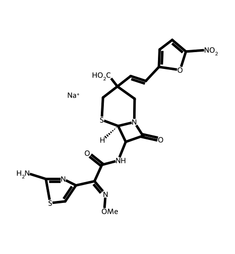 CON=C(C(=O)NC1C(=O)N2CC(C=Cc3ccc([N+](=O)[O-])o3)(C(=O)O)CS[C@H]12)c1csc(N)n1.[Na+]